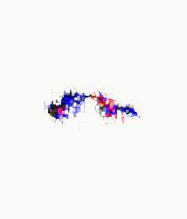 CC(C)C(C(=O)N1C[C@H](O)C[C@H]1C(=O)NCc1ccc(C#N)cc1)c1cc(OCCCCN2CCCN(c3nccc(C(=N)NC(=O)[C@@]4(C)CCCc5sc(N)c(N)c54)n3)[C@@H](C)C2)no1